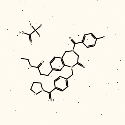 CCOC(=O)CCc1ccc2c(c1)N(Cc1ccc(C(=N)N3CCCC3)cc1)C(=O)CN(C(=O)c1ccc(Cl)cc1)C2.O=C(O)C(F)(F)F